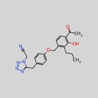 CCCc1c(COc2ccc(Cc3nnnn3CC#N)cc2)ccc(C(C)=O)c1O